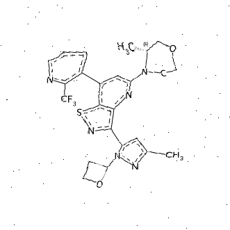 Cc1cc(-c2nsc3c(-c4cccnc4C(F)(F)F)cc(N4CCOC[C@H]4C)nc23)n(C2CCO2)n1